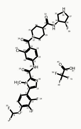 Cn1c(-c2ccc(OC(F)F)c(F)c2F)cnc1C(=O)Nc1ccc(C(=O)N2CCC(C(=O)N[C@H]3CNC[C@H]3F)CC2)c(Cl)c1.O=C(O)C(F)(F)F